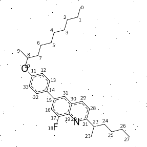 CCCCCCCCC(C)Oc1ccc(-c2cc(F)c3nc(C(C)CCCC)ccc3c2)cc1